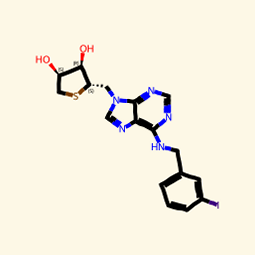 O[C@@H]1[C@H](O)CS[C@H]1Cn1cnc2c(NCc3cccc(I)c3)ncnc21